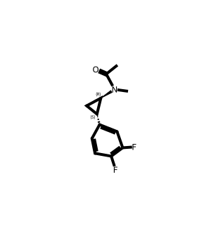 CC(=O)N(C)[C@@H]1C[C@H]1c1ccc(F)c(F)c1